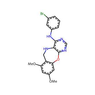 COc1cc(OC)c2c(c1)Oc1ncnc(Nc3cccc(Br)c3)c1NC2